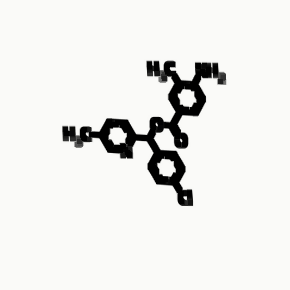 Cc1ccc(C(OC(=O)c2ccc(N)c(C)c2)c2ccc(Cl)cc2)nc1